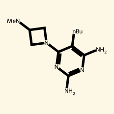 CCCCc1c(N)nc(N)nc1N1CC(NC)C1